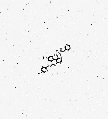 CSc1cnc(OCCOc2ncnc(NS(=O)(=O)NCc3cccnc3)c2-c2ccc(Br)cc2)nc1